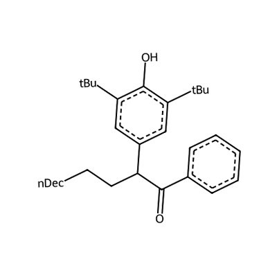 CCCCCCCCCCCCC(C(=O)c1ccccc1)c1cc(C(C)(C)C)c(O)c(C(C)(C)C)c1